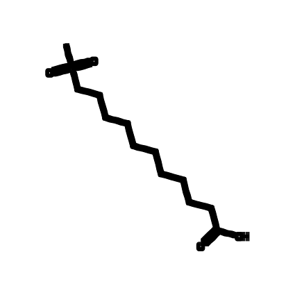 CS(=O)(=O)CCCCCCCCCCC(=O)O